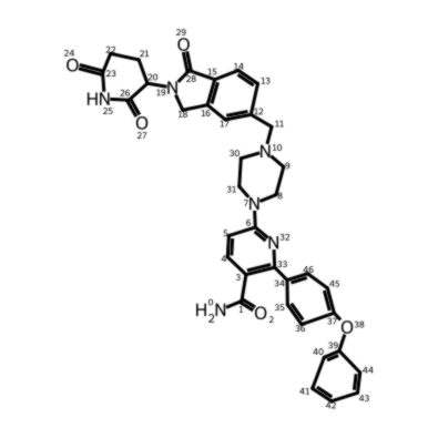 NC(=O)c1ccc(N2CCN(Cc3ccc4c(c3)CN(C3CCC(=O)NC3=O)C4=O)CC2)nc1-c1ccc(Oc2ccccc2)cc1